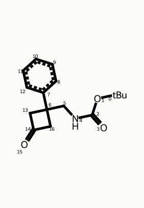 CC(C)(C)OC(=O)NCC1(c2ccccc2)CC(=O)C1